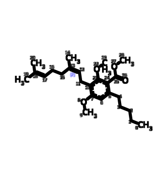 CCCCCc1cc(OC)c(C/C=C(/C)CCC=C(C)C)c(OC)c1C(=O)OC